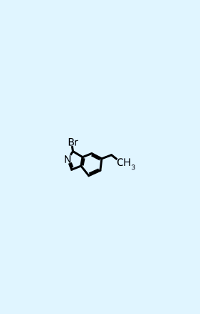 CCc1ccc2c(c1)C(Br)N=C2